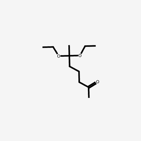 CCOC(C)(CCCC(C)=O)OCC